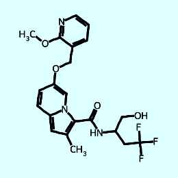 COc1ncccc1COc1ccc2cc(C)c(C(=O)NC(CO)CC(F)(F)F)n2c1